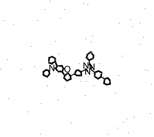 c1ccc(-c2ccc(-c3nc(-c4ccccc4)nc(-c4ccc(-c5cccc6c5oc5cc7c8ccccc8n(-c8ccccc8)c7cc56)cc4)n3)cc2)cc1